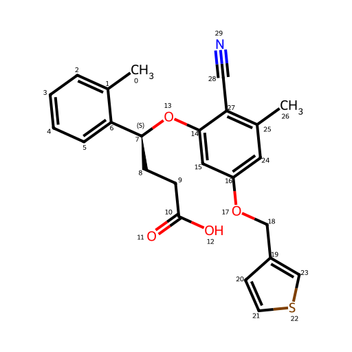 Cc1ccccc1[C@H](CCC(=O)O)Oc1cc(OCc2ccsc2)cc(C)c1C#N